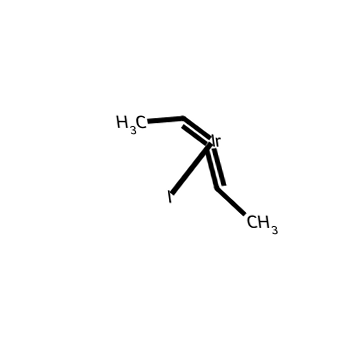 C/[CH]=[Ir](\[I])=[CH]/C